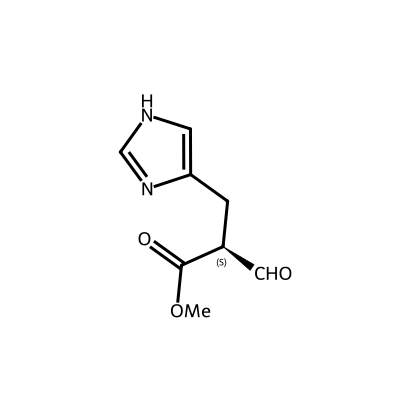 COC(=O)[C@H](C=O)Cc1c[nH]cn1